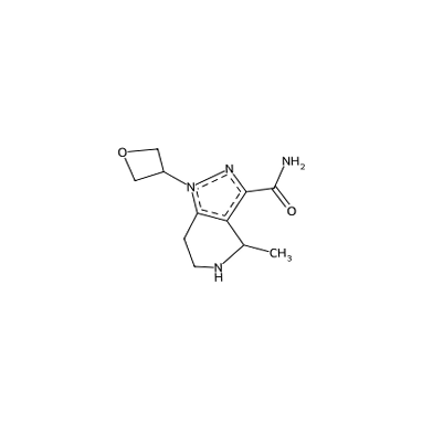 CC1NCCc2c1c(C(N)=O)nn2C1COC1